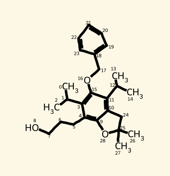 CC(C)c1c(CCCO)c2c(c(C(C)C)c1OCc1ccccc1)CC(C)(C)O2